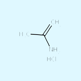 C=C(C)N.Cl